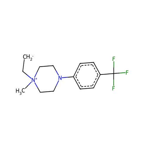 [CH2]C[N+]1(C)CCN(c2ccc(C(F)(F)F)cc2)CC1